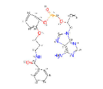 CC(Cn1cnc2c(N)ncnc21)OC[PH](=O)Oc1ccccc1OCCCNC(=O)c1ccccc1